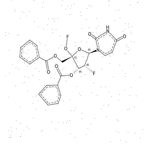 O=C(OC[C@@]1(OF)O[C@@H](n2ccc(=O)[nH]c2=O)[C@H](F)[C@@H]1OC(=O)c1ccccc1)c1ccccc1